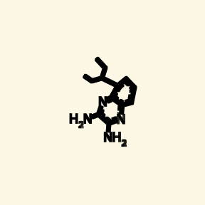 CCC(CC)c1cccc2nc(N)c(N)nc12